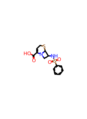 O=C(O)C1=CCSC2C(NS(=O)(=O)c3ccccc3)CN12